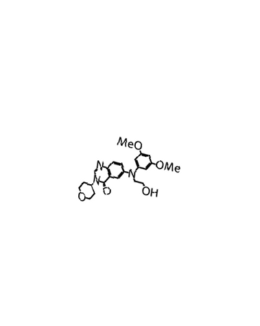 COc1cc(OC)cc(N(CCO)c2ccc3ncn(C4CCOCC4)c(=O)c3c2)c1